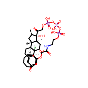 C[C@@H]1C[C@H]2[C@@H]3CCC4=CC(=O)C=C[C@]4(C)[C@@]3(F)[C@@H](O)C[C@]2(C)[C@@]1(O)C(=O)COP(=O)(O)OP(=O)(O)OP(=O)(O)OCCNC(=O)COC1/C=C\CCCCC1